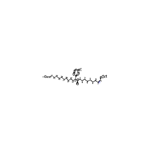 CCCCCCCC/C=C\CCCCCCCC(=O)C(CCCCCCCCCCCCCCCCCCCC)C(=O)OCCCCC